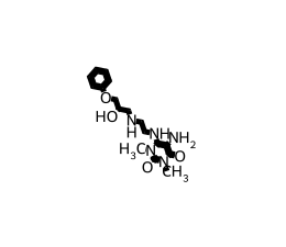 Cn1c(NCCNCC(O)COc2ccccc2)c(N)c(=O)n(C)c1=O